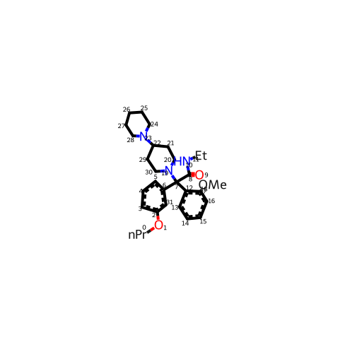 CCCOc1cccc(C(C(=O)NCC)(c2ccccc2OC)N2CCC(N3CCCCC3)CC2)c1